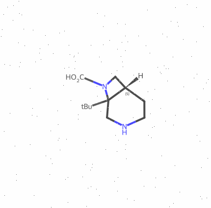 CC(C)(C)C12CNCC[C@H]1CN2C(=O)O